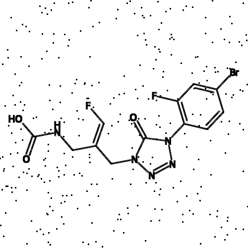 O=C(O)NCC(=CF)Cn1nnn(-c2ccc(Br)cc2F)c1=O